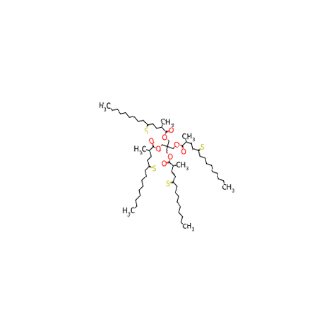 CCCCCCCCCC(=S)CCC(C)C(=O)OCC(COC(=O)C(C)CCC(=S)CCCCCCCCC)(COC(=O)C(C)CCC(=S)CCCCCCCCC)COC(=O)C(C)CCC(=S)CCCCCCCCC